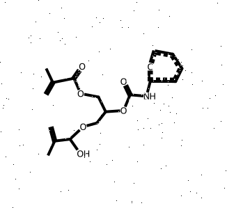 C=C(C)C(=O)OCC(COC(O)C(=C)C)OC(=O)Nc1ccccc1